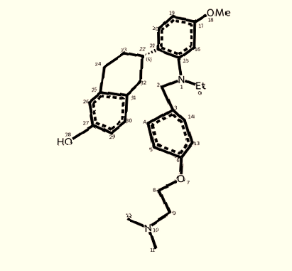 CCN(Cc1ccc(OCCN(C)C)cc1)c1cc(OC)ccc1[C@H]1CCc2cc(O)ccc2C1